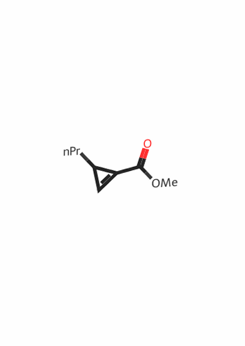 CCCC1C=C1C(=O)OC